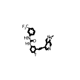 Cn1ncc2c(C#Cc3cc(NC(=O)Nc4cccc(C(F)(F)F)c4)ccc3F)cncc21